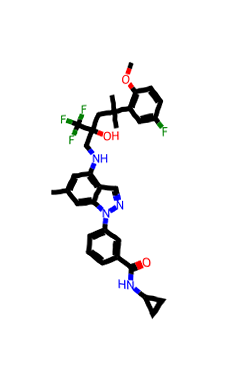 COc1ccc(F)cc1C(C)(C)CC(O)(CNc1cc(C)cc2c1cnn2-c1cccc(C(=O)NC2CC2)c1)C(F)(F)F